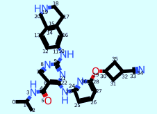 CC(C)NC(=O)c1cnc(Nc2ccc3c(c2)CCNC3)nc1Nc1cccc(OC2CC(C#N)C2)n1